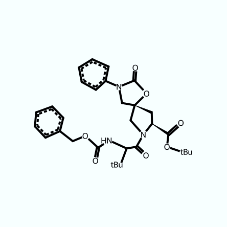 CC(C)(C)OC(=O)[C@@H]1C[C@]2(CN(c3ccccc3)C(=O)O2)CN1C(=O)C(NC(=O)OCc1ccccc1)C(C)(C)C